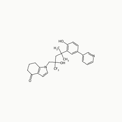 CC(C)(CC(O)(Cn1ccc2c1CCCC2=O)C(F)(F)F)c1cc(-c2cccnc2)ccc1O